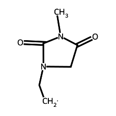 [CH2]CN1CC(=O)N(C)C1=O